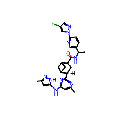 Cc1cc(Nc2cc(C)nc([C@@H]3CC(C(=O)N[C@H](C)c4ccc(-n5cc(F)cn5)nc4)C4CC3C4)n2)[nH]n1